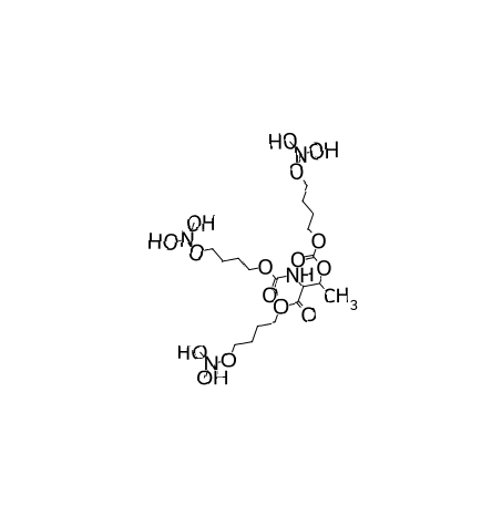 CC(OC(=O)OCCCCON(O)O)C(NC(=O)OCCCCON(O)O)C(=O)OCCCCON(O)O